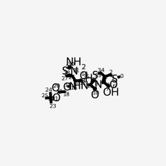 CSCC1=C(C(=O)O)N2C(=O)C(NC(=O)C(=NOCC(=O)OC(C)(C)C)c3csc(N)n3)[C@@H]2SC1